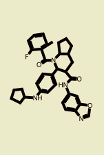 Cc1cccc(F)c1C(=O)N1C2CCCC2CC(C(=O)Nc2ccc3ncoc3c2)C1c1ccc(NC2CCCC2)cc1